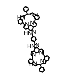 C1=c2cccc3c2=NC1C(c1ccccc1)c1cc2cccc(c2[nH]1)-c1ccc2c(n1)c1nc-3ccc1c1nc(-c3ccc(-c4nc5c6ccc7nc6c6nc(ccc6c5[nH]4)-c4cccc5cc([nH]c45)C(c4ccccc4)c4cc5cccc-7c5[nH]4)cc3)[nH]c21